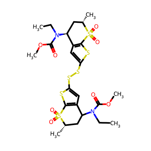 CCN(C(=O)OC)C1C[C@H](C)S(=O)(=O)c2sc(SSc3cc4c(s3)S(=O)(=O)[C@@H](C)C[C@@H]4N(CC)C(=O)OC)cc21